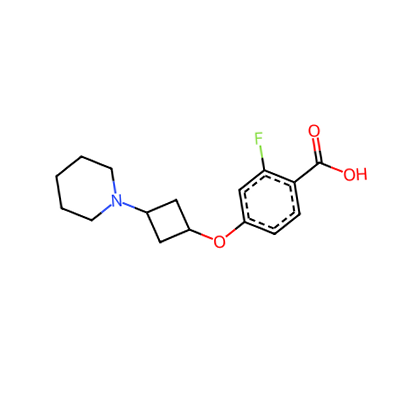 O=C(O)c1ccc(OC2CC(N3CCCCC3)C2)cc1F